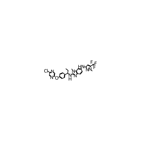 CCC(Nc1nc2ccc(Nc3cc(C(F)(F)F)n(C)n3)cc2n1C)c1ccc(Oc2cnc(Cl)cn2)cc1